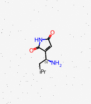 CC(C)C[C@H](N)C1=CC(=O)NC1=O